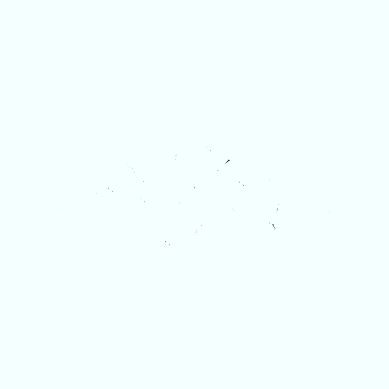 CN1C(=O)C23SSC1(C)C(=O)N2C1Nc2ccccc2C1(C12c4ccccc4N[C@@H]1N1C(=O)C4(CO)SSC1(C(=O)N4C)C2O)C3O